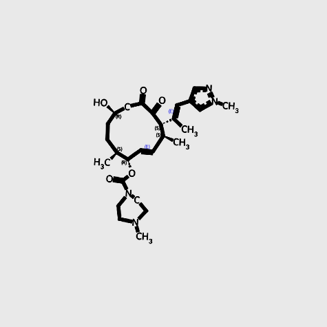 C/C(=C\c1cnn(C)c1)[C@H]1C(=O)C(=O)C[C@H](O)CC[C@H](C)[C@@H](OC(=O)N2CCN(C)CC2)/C=C/[C@@H]1C